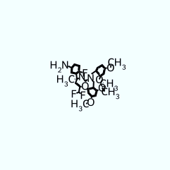 COc1ccc(CN(Cc2ccc(OC)cc2OC)C2=N[C@](C)(c3cc(N)ccc3F)C=C(C(F)F)O2)c(OC)c1